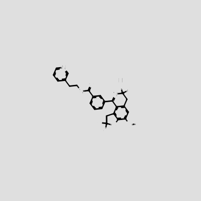 COc1cc2c(c3c1OC(C)(C)C3)C(c1cccc(C(=O)NCCc3cccnc3)c1)=NC(C)(C)C2